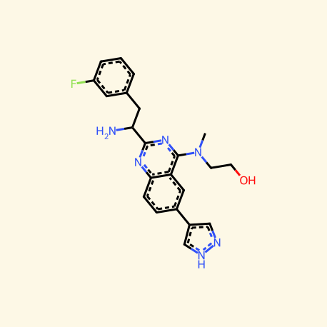 CN(CCO)c1nc(C(N)Cc2cccc(F)c2)nc2ccc(-c3cn[nH]c3)cc12